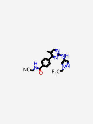 Cc1cnc(Nc2cnn(CC(F)(F)F)c2)nc1-c1ccc(C(=O)NCC#N)cc1